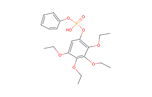 CCOc1cc(OP(=O)(O)Oc2ccccc2)c(OCC)c(OCC)c1OCC